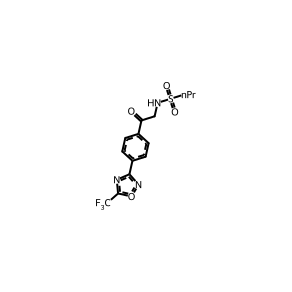 CCCS(=O)(=O)NCC(=O)c1ccc(-c2noc(C(F)(F)F)n2)cc1